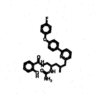 CC(Cc1cccc(-c2ccc(Oc3ccc(F)cc3)cc2)n1)CC(CNC(=O)c1ccccc1O)NC(N)=O